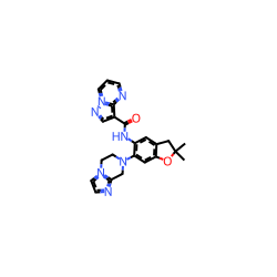 CC1(C)Cc2cc(NC(=O)c3cnn4cccnc34)c(N3CCn4ccnc4C3)cc2O1